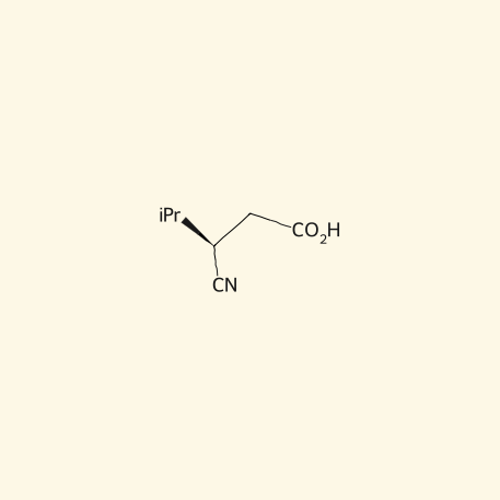 CC(C)[C@H](C#N)CC(=O)O